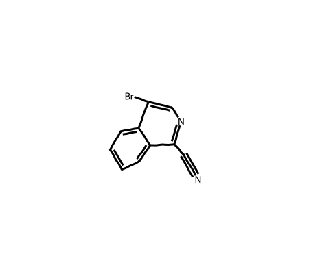 N#Cc1ncc(Br)c2ccccc12